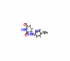 CC(C)c1ccc(NC2CCC(=O)NC2=O)nc1